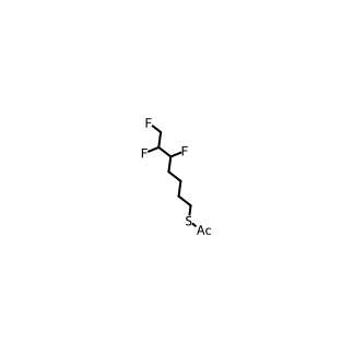 CC(=O)SCCCCC(F)C(F)CF